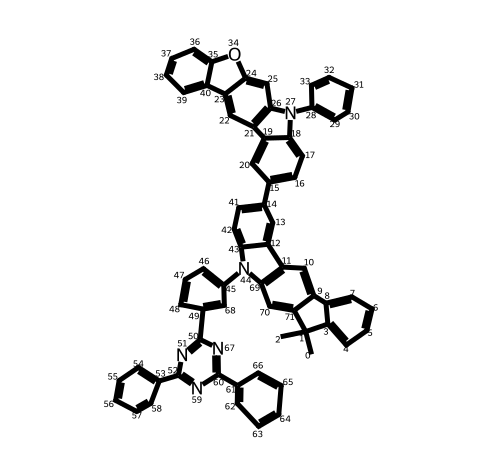 CC1(C)c2ccccc2-c2cc3c4cc(-c5ccc6c(c5)c5cc7c(cc5n6-c5ccccc5)oc5ccccc57)ccc4n(-c4cccc(-c5nc(-c6ccccc6)nc(-c6ccccc6)n5)c4)c3cc21